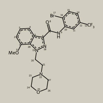 COc1cccc2c(C(=O)Nc3cc(C(F)(F)F)ccc3Br)nn(CCN3CCOCC3)c12